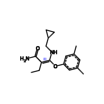 CC/C(C(N)=O)=C(/NCC1CC1)Oc1cc(C)cc(C)c1